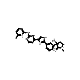 Cc1cccc(Nc2nccc(-c3csc(-c4cccc(C5(O)CCN(C)C5=O)c4)n3)n2)n1